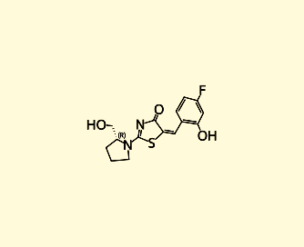 O=C1N=C(N2CCC[C@@H]2CO)SC1=Cc1ccc(F)cc1O